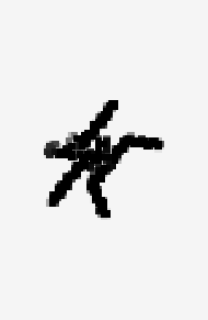 CCCCC/C=C\CCCN(CCC/C=C\CCCCC)NC(=O)CC(CCCCCCCCC)N(CCCN(C)C)C(=O)CCCCCCCCC